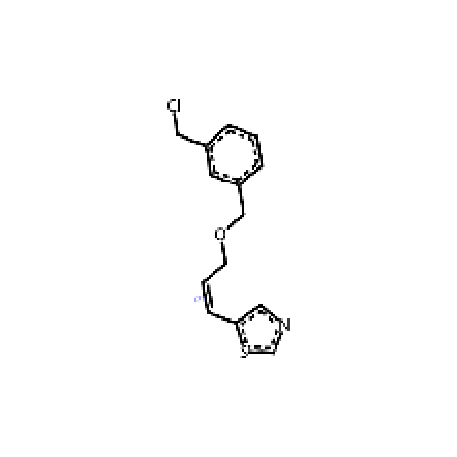 ClCc1cccc(COC/C=C\c2cncs2)c1